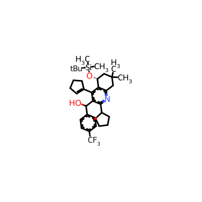 CC1(C)Cc2nc(C3CCCC3)c(C(O)c3ccc(C(F)(F)F)cc3)c(C3=CCCC3)c2[C@H](O[Si](C)(C)C(C)(C)C)C1